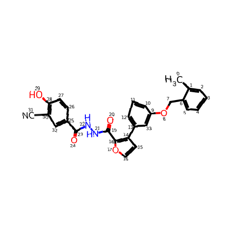 Cc1ccccc1COc1cccc(-c2ccoc2C(=O)NNC(=O)c2ccc(O)c(C#N)c2)c1